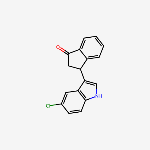 O=C1CC(c2c[nH]c3ccc(Cl)cc23)c2ccccc21